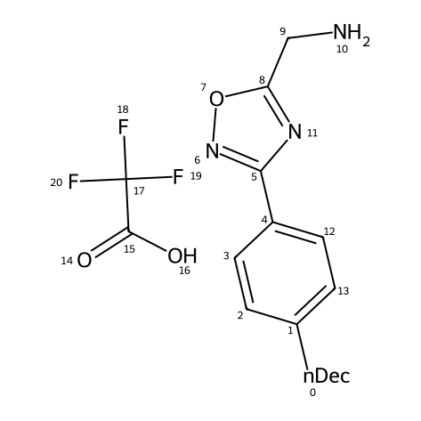 CCCCCCCCCCc1ccc(-c2noc(CN)n2)cc1.O=C(O)C(F)(F)F